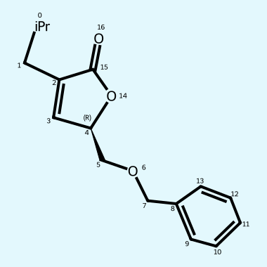 CC(C)CC1=C[C@H](COCc2ccccc2)OC1=O